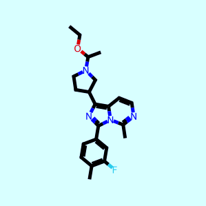 CCOC(C)N1CCC(c2nc(-c3ccc(C)c(F)c3)n3c(C)nccc23)C1